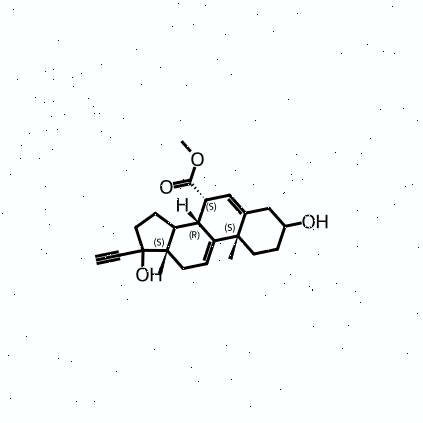 C#CC1(O)CCC2[C@H]3C(=CC[C@@]21C)[C@@]1(C)CCC(O)CC1=C[C@H]3C(=O)OC